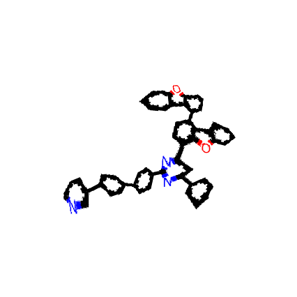 c1ccc(-c2cc(-c3ccc(-c4cccc5oc6ccccc6c45)c4c3oc3ccccc34)nc(-c3ccc(-c4ccc(-c5cccnc5)cc4)cc3)n2)cc1